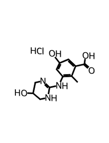 Cc1c(NC2=NCC(O)CN2)cc(O)cc1C(=O)O.Cl